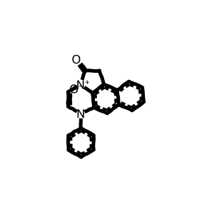 O=C1Cc2c3c(cc4ccccc24)N(c2ccccc2)C=C[N+]13[O-]